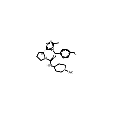 CC(=O)N1CCC(NC(=O)N2CCC[C@@H]2c2nnc(C)n2Cc2ccc(Cl)cc2)CC1